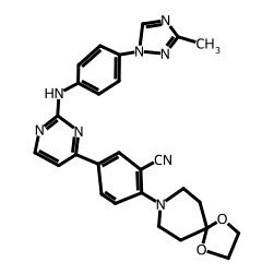 Cc1ncn(-c2ccc(Nc3nccc(-c4ccc(N5CCC6(CC5)OCCO6)c(C#N)c4)n3)cc2)n1